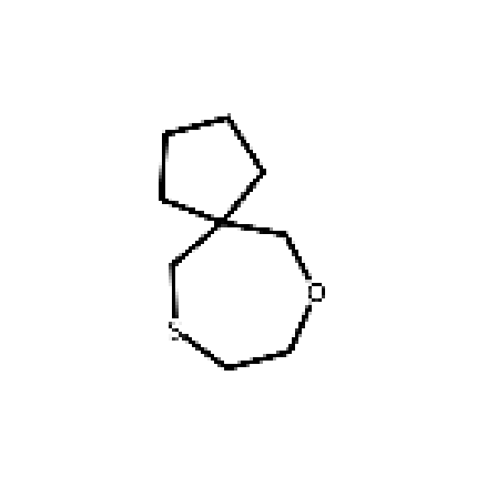 C1CCC2(C1)COCCSC2